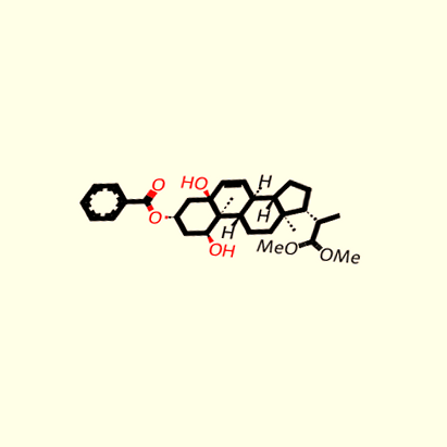 COC(OC)C(C)[C@H]1CC[C@H]2[C@@H]3C=C[C@@]4(O)C[C@@H](OC(=O)c5ccccc5)C[C@H](O)[C@]4(C)[C@H]3CC[C@]12C